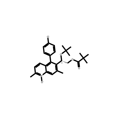 Cc1cc2c(ccc(C)[n+]2[O-])c(-c2ccc(Cl)cc2)c1[C@@H](COC(=O)C(C)(C)C)OC(C)(C)C